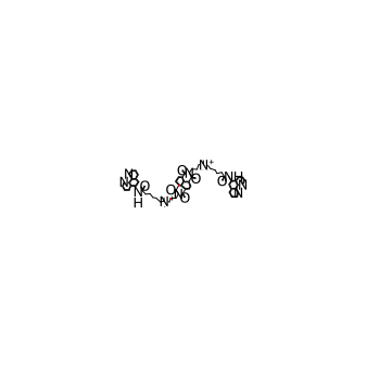 C[N+](C)(CCCCCC(=O)Nc1cc2cccnc2c2ncccc12)CCCN1C(=O)c2ccc3c4c(ccc(c24)C1=O)C(=O)N(CCC[N+](C)(C)CCCCCC(=O)Nc1cc2cccnc2c2ncccc12)C3=O